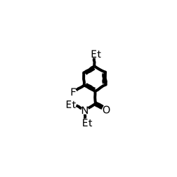 CCc1ccc(C(=O)N(CC)CC)c(F)c1